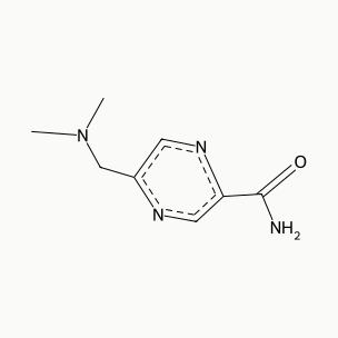 CN(C)Cc1cnc(C(N)=O)cn1